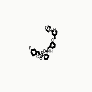 O=C(NCc1cccc(OCc2ccnc(N3CCOCC3)c2)c1)[C@@H]1CCCN1S(=O)(=O)c1cc2cc(F)ccc2o1